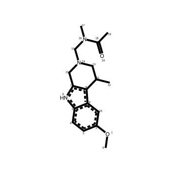 COc1ccc2[nH]c3c(c2c1)C(C)CN(CN(C)C(C)=O)C3